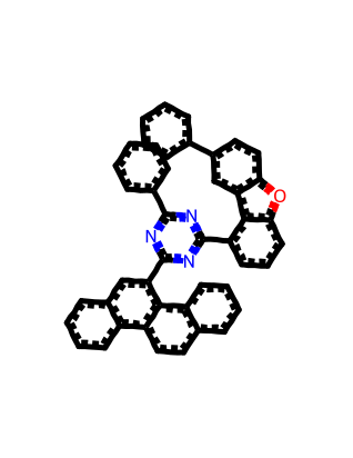 c1ccc(-c2ccc3oc4cccc(-c5nc(-c6ccccc6)nc(-c6cc7ccccc7c7ccc8ccccc8c67)n5)c4c3c2)cc1